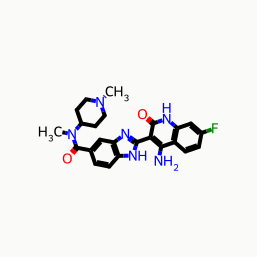 CN1CCC(N(C)C(=O)c2ccc3[nH]c(-c4c(N)c5ccc(F)cc5[nH]c4=O)nc3c2)CC1